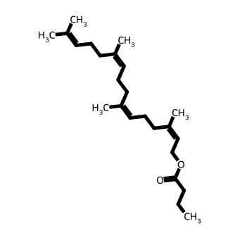 CCCC(=O)OCC=C(C)CCC=C(C)CCC=C(C)CCC=C(C)C